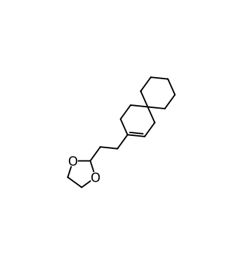 C1=C(CCC2OCCO2)CCC2(C1)CCCCC2